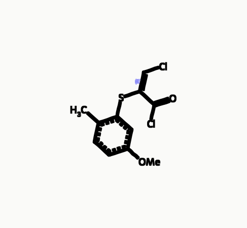 COc1ccc(C)c(S/C(=C/Cl)C(=O)Cl)c1